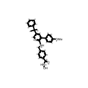 COc1ccc(-c2cc(C(C)(C)c3ccccc3)cnc2NCc2ccc(C(=O)NO)cc2)cc1